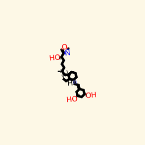 C[C@@H](CCC[C@@H](O)c1cocn1)[C@H]1CC[C@H]2/C(=C/C=C3C[C@@H](O)C[C@H](O)C3)CCC[C@]12C